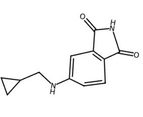 O=C1NC(=O)c2cc(NCC3CC3)ccc21